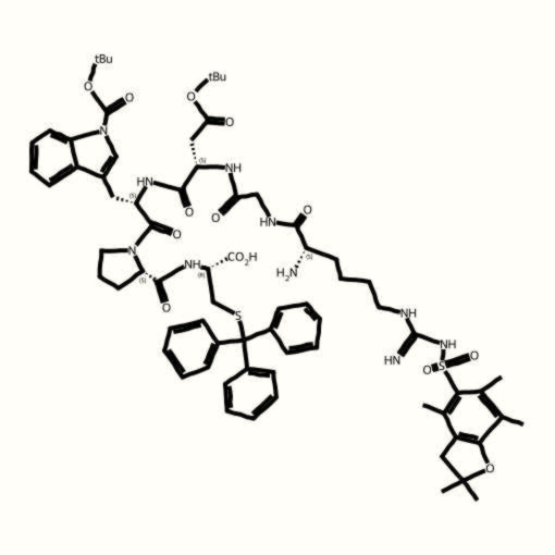 Cc1c(C)c(S(=O)(=O)NC(=N)NCCCC[C@H](N)C(=O)NCC(=O)N[C@@H](CC(=O)OC(C)(C)C)C(=O)N[C@@H](Cc2cn(C(=O)OC(C)(C)C)c3ccccc23)C(=O)N2CCC[C@H]2C(=O)N[C@@H](CSC(c2ccccc2)(c2ccccc2)c2ccccc2)C(=O)O)c(C)c2c1OC(C)(C)C2